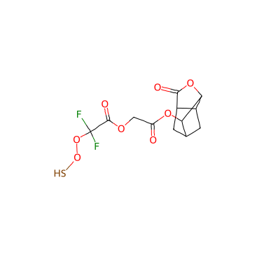 O=C(COC(=O)C(F)(F)OOS)OC1C2CC3C(=O)OC1C3C2